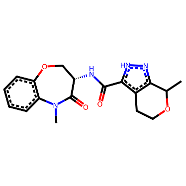 CC1OCCc2c1n[nH]c2C(=O)N[C@H]1COc2ccccc2N(C)C1=O